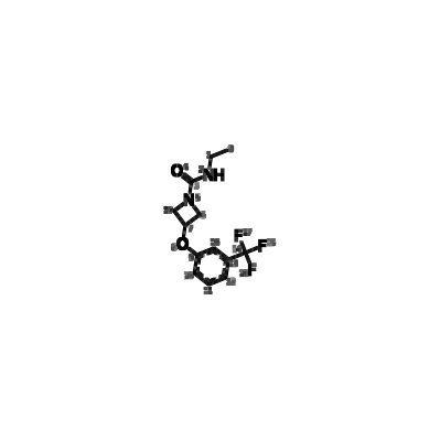 CCNC(=O)N1CC(Oc2cccc(C(F)(F)F)c2)C1